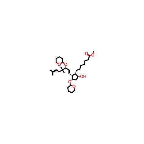 COC(=O)CCCCCC[C@@H]1[C@@H](/C=C/[C@@H](OC2CCCCO2)C(C)(C)CC=C(C)C)[C@H](OC2CCCCO2)C[C@@H]1O